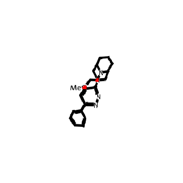 COCCN1C2CCCC1CN(c1ccc(-c3ccccc3)nn1)C2